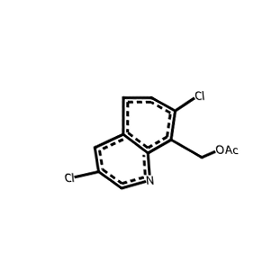 CC(=O)OCc1c(Cl)ccc2cc(Cl)cnc12